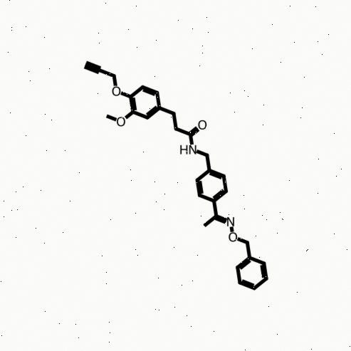 C#CCOc1ccc(CCC(=O)NCc2ccc(C(C)=NOCc3ccccc3)cc2)cc1OC